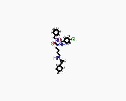 O=C(N[C@@H](CCCCNC1CC1c1ccccc1)C(=O)NCc1ccccc1)c1ccc(Cl)cc1